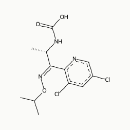 CC(C)O/N=C(\c1ncc(Cl)cc1Cl)[C@H](C)NC(=O)O